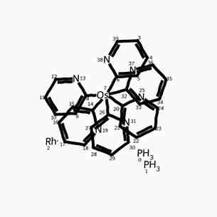 P.P.[Rh].c1cc[c]([Os]([c]2ccccn2)([c]2ccccn2)([c]2ccccn2)([c]2ccccn2)[c]2ccccn2)nc1